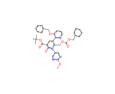 COc1ncc(-n2c(COC(=O)OCc3ccccc3)c(-c3ncccc3OCc3ccccc3)cc(C(=O)OC(C)(C)C)c2=O)cn1